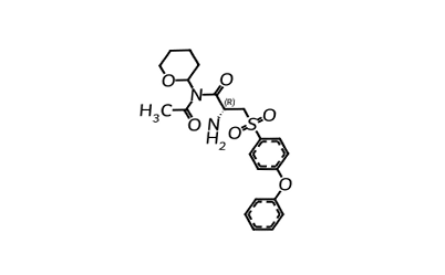 CC(=O)N(C(=O)[C@@H](N)CS(=O)(=O)c1ccc(Oc2ccccc2)cc1)C1CCCCO1